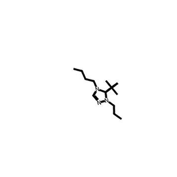 CCCCN1C=NN(CCC)C1C(C)(C)C